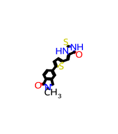 CN1Cc2cc(-c3ccc(/C=C4\NC(=S)NC4=O)s3)ccc2C1=O